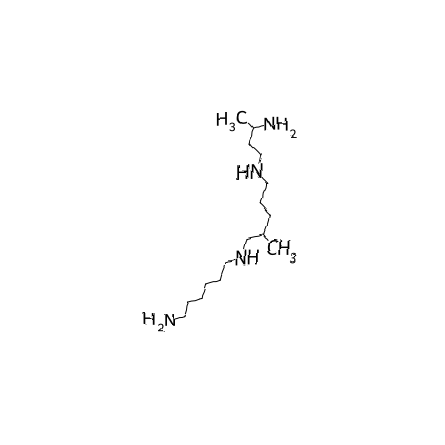 CC(N)CCNCCCC(C)CNCCCCCCN